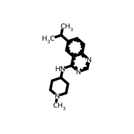 CC(C)c1ccc2ncnc(NC3CCN(C)CC3)c2c1